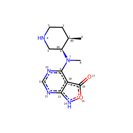 C[C@@H]1CCNC[C@@H]1N(C)c1ncnc2[nH]oc(=O)c12